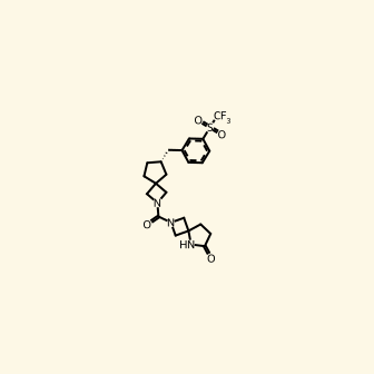 O=C1CCC2(CN(C(=O)N3CC4(CC[C@H](Cc5cccc(S(=O)(=O)C(F)(F)F)c5)C4)C3)C2)N1